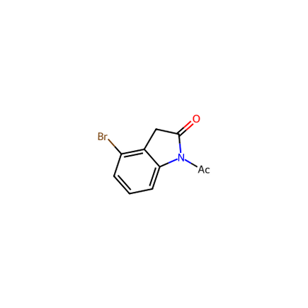 CC(=O)N1C(=O)Cc2c(Br)cccc21